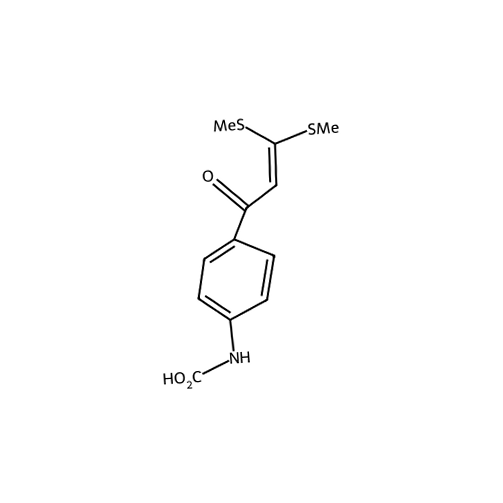 CSC(=CC(=O)c1ccc(NC(=O)O)cc1)SC